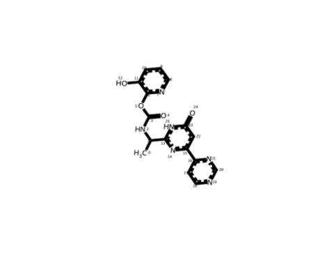 CC(NC(=O)Oc1ncccc1O)c1nc(-c2ccncn2)cc(=O)[nH]1